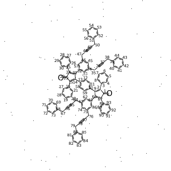 O=C1C(c2ccccc2)=C(c2ccc(C3=C(c4ccccc4)C(=O)C(c4ccccc4)=C3c3cc(CC#CCc4ccccc4)cc(CC#CCc4ccccc4)c3)cc2)C(c2cc(CC#CCc3ccccc3)cc(CC#CCc3ccccc3)c2)=C1c1ccccc1